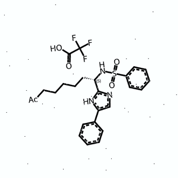 CC(=O)CCCCC[C@H](NS(=O)(=O)c1ccccc1)c1ncc(-c2ccccc2)[nH]1.O=C(O)C(F)(F)F